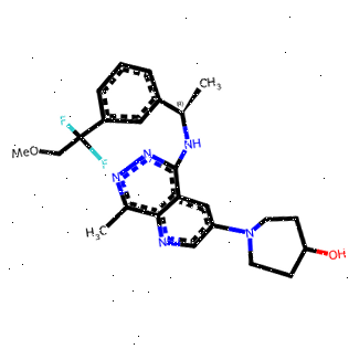 COCC(F)(F)c1cccc([C@@H](C)Nc2nnc(C)c3ncc(N4CCC(O)CC4)cc23)c1